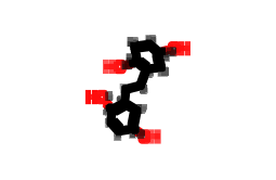 Oc1ccc(O)c(CCc2cc(O)ccc2O)c1